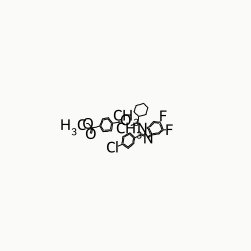 COC(=O)c1ccc(C(C)(C)OCC(C2CCCCC2)n2c(-c3ccc(Cl)cc3)nc3cc(F)c(F)cc32)cc1